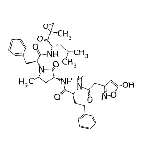 CC(C)C[C@H](NC(=O)[C@H](Cc1ccccc1)N1C(=O)[C@@H](NC(=O)[C@H](CCc2ccccc2)NC(=O)Cc2cc(O)on2)CC1C)C(=O)[C@@]1(C)CO1